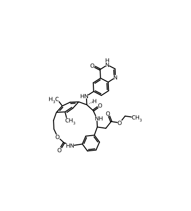 CCOC(=O)CC1NC(=O)[C@H](Nc2ccc3nc[nH]c(=O)c3c2)c2cc(C)c(c(C)c2)CCOC(=O)Nc2cccc1c2